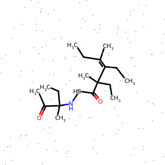 CC/C(C)=C(/CC)C(C)(CC)C(=O)BNC(C)(CC)C(C)=O